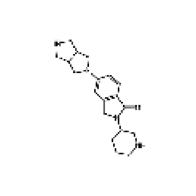 O=C1c2ccc(N3CC4CNCC4C3)cc2CN1C1CCCNC1